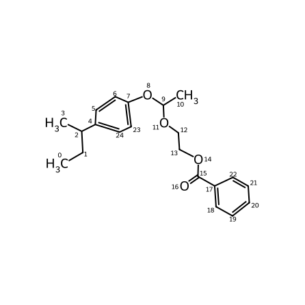 CCC(C)c1ccc(OC(C)OCCOC(=O)c2ccccc2)cc1